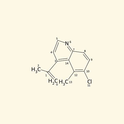 C=C(C)c1ccnc2ccc(Cl)c(C)c12